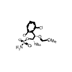 CCCC[C@H](OS(N)(=O)=O)[C@@H](OCOC)c1c(Cl)cccc1Cl